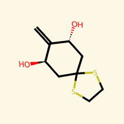 C=C1[C@H](O)CC2(C[C@H]1O)SCCS2